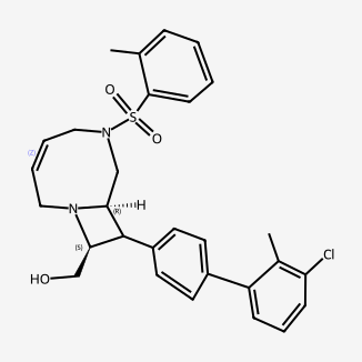 Cc1ccccc1S(=O)(=O)N1C/C=C\CN2[C@H](CO)C(c3ccc(-c4cccc(Cl)c4C)cc3)[C@@H]2C1